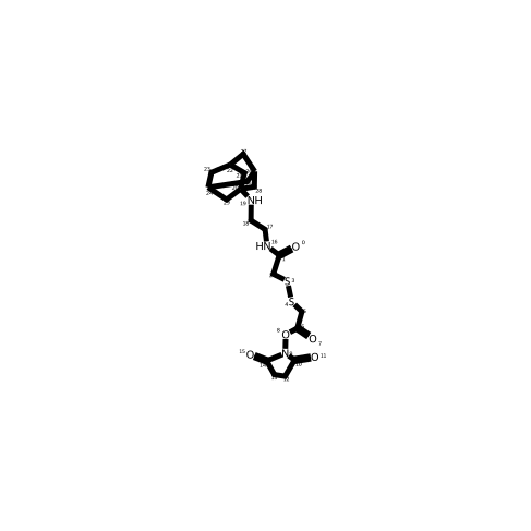 O=C(CSSCC(=O)ON1C(=O)CCC1=O)NCCNC12CC3CC(CC(C3)C1)C2